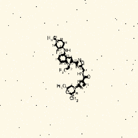 C[C@@H]1CN(c2nc(C(=O)NCc3nc(-c4cc5c(N[C@@H]6CCN(C)C[C@@H]6F)cccc5n4CC(F)(F)F)no3)cs2)C[C@H](C)O1